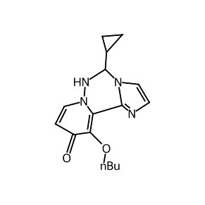 CCCCOc1c2n(ccc1=O)NC(C1CC1)n1ccnc1-2